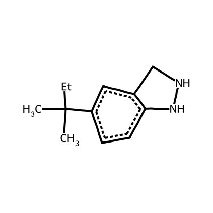 CCC(C)(C)c1ccc2c(c1)CNN2